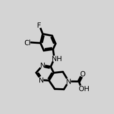 O=C(O)N1CCc2ncnc(Nc3ccc(F)c(Cl)c3)c2C1